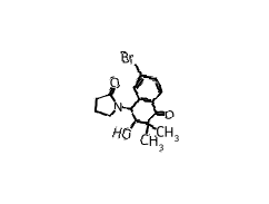 CC1(C)C(=O)c2ccc(Br)cc2C(N2CCCC2=O)C1O